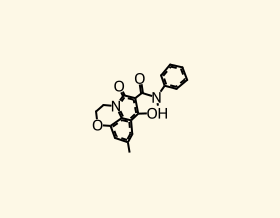 Cc1cc2c3c(c1)c(O)c(C(=O)N(C)c1ccccc1)c(=O)n3CCO2